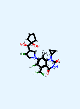 Cc1c(N2CC(F)C(C(O)C3(O)CCCC3)C2)c(F)c(C(F)F)c2c(=O)[nH]c(=O)n(C3CC3)c12